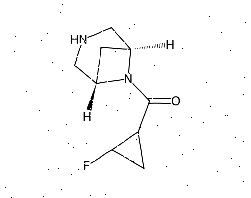 O=C(C1CC1F)N1[C@@H]2CNC[C@@H]1C2